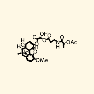 COc1ccc2c3c1O[C@@H]1C(OC(=O)[C@H](O)OC(=O)CCNC(=O)[C@H](C)OC(C)=O)=CC[C@]4(O)[C@H](C2)N(C)CC[C@@]314